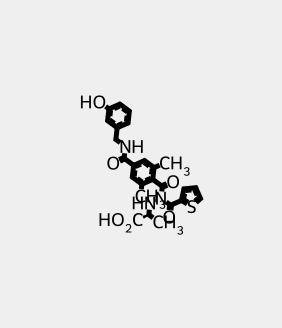 Cc1cc(C(=O)NCc2cccc(O)c2)cc(C)c1C(=O)N(N[C@@H](C)C(=O)O)C(=O)c1cccs1